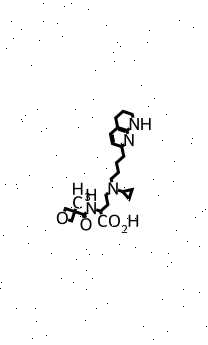 CC1(C(=O)NC(CCN(CCCCc2ccc3c(n2)NCCC3)C2CC2)C(=O)O)COC1